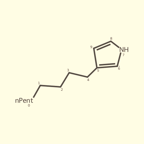 CCCCCCCCCc1[c][nH]cc1